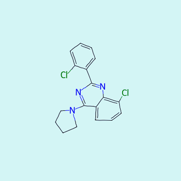 Clc1ccccc1-c1nc(N2CCCC2)c2cccc(Cl)c2n1